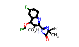 CC(C)C1(C)N=C(c2nc3ccc(F)cc3c(OCF)c2C(=O)O)NC1=O